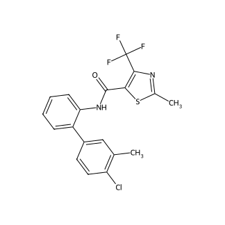 Cc1nc(C(F)(F)F)c(C(=O)Nc2ccccc2-c2ccc(Cl)c(C)c2)s1